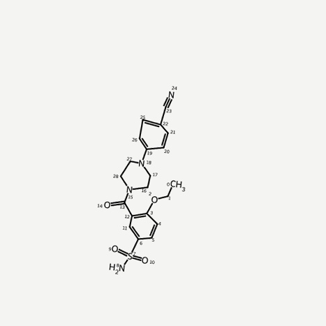 CCOc1ccc(S(N)(=O)=O)cc1C(=O)N1CCN(c2ccc(C#N)cc2)CC1